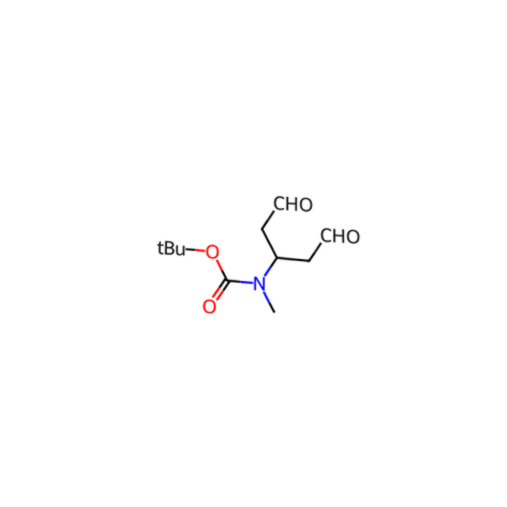 CN(C(=O)OC(C)(C)C)C(CC=O)CC=O